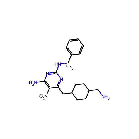 C[C@H](Nc1nc(N)c([N+](=O)[O-])c(CC2CCC(CN)CC2)n1)c1ccccc1